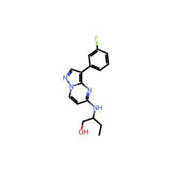 CCC(CO)Nc1ccn2ncc(-c3cccc(F)c3)c2n1